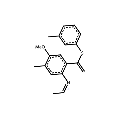 C=C(Sc1cccc(C)c1)c1cc(OC)c(C)cc1/N=C\C